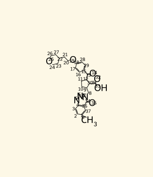 Cc1ccc2nnn(CC3CCC(C(=O)c4ccc(OCCC5CCOCC5)cc4)C3C(=O)O)c(=O)c2c1